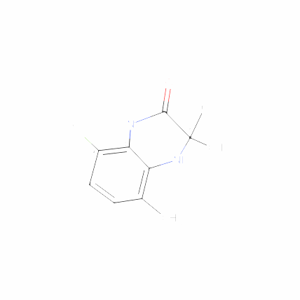 Cc1ccc(F)c2c1NC(C)(C)C(=O)N2